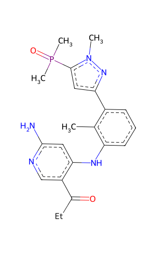 CCC(=O)c1cnc(N)cc1Nc1cccc(-c2cc(P(C)(C)=O)n(C)n2)c1C